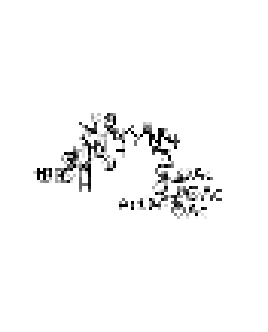 CC(=O)OC[C@H]1O[C@@H](OCc2cn(CCCNC(=O)[C@@H]3N4C(=O)[C@@H](NC(=O)OC(C)(C)C)[C@H]4SC3(C)C)nn2)[C@H](OC(C)=O)[C@@H](OC(C)=O)[C@@H]1OC(C)=O